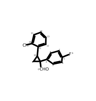 O=CC1(c2ccc(F)cc2)CC1c1ccccc1Cl